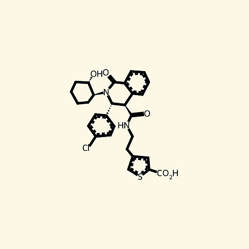 O=C(O)c1cc(CCNC(=O)[C@@H]2c3ccccc3C(=O)N([C@H]3CCCC[C@@H]3O)[C@H]2c2ccc(Cl)cc2)cs1